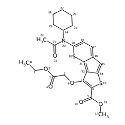 CCOC(=O)COc1c(C(=O)OC)sc2cc3ccc(N(C(C)=O)C4CCCCC4)sc-3c12